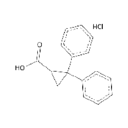 Cl.O=C(O)C1CC1(c1ccccc1)c1ccccc1